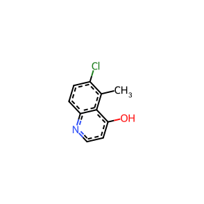 Cc1c(Cl)ccc2nccc(O)c12